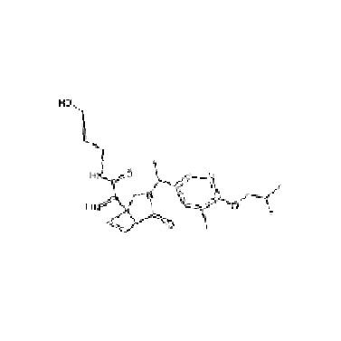 Cc1cc(C(C)N2C[C@@]3(C(=N)C(=O)NCCCO)C=CC3C2=O)cnc1OCC(C)F